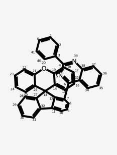 c1ccc(-c2nc(-c3cccc4c3C3(c5ccccc5Oc5ccccc53)c3ccccc3-4)c3ccccc3n2)cc1